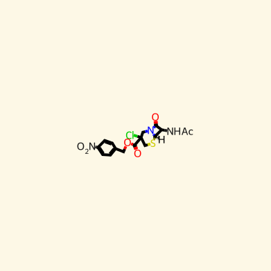 CC(=O)NC1C(=O)N2CC(Cl)(C(=O)OCc3ccc([N+](=O)[O-])cc3)CS[C@H]12